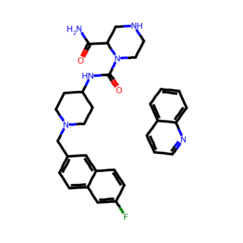 NC(=O)C1CNCCN1C(=O)NC1CCN(Cc2ccc3cc(F)ccc3c2)CC1.c1ccc2ncccc2c1